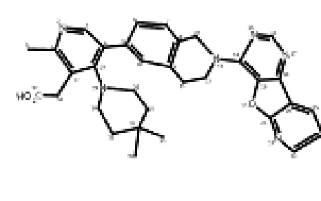 Cc1ncc(-c2ccc3c(c2)CCN(c2ncnc4c2oc2ncccc24)C3)c(N2CCC(C)(C)CC2)c1CC(=O)O